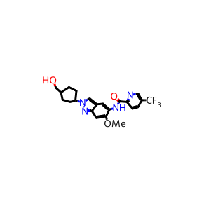 COc1cc2nn(C3CCC(CO)CC3)cc2cc1NC(=O)c1ccc(C(F)(F)F)cn1